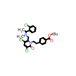 CC(c1ccccc1Cl)N(C)Cc1c(Cl)cc(Cl)c(=O)n1CCc1ccc(C(=O)OC(C)(C)C)cc1